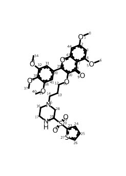 COc1cc(OC)c2c(=O)c(OCCCN3CCNC(S(=O)(=O)c4cccs4)C3)c(-c3cc(OC)c(OC)c(OC)c3)oc2c1